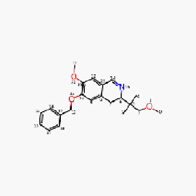 COCC(C)(C)C1Cc2cc(OCc3ccccc3)c(OC)cc2C=N1